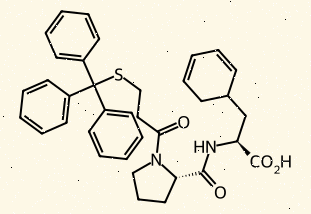 O=C(O)[C@H](CC1C=CC=CC1)NC(=O)[C@@H]1CCCN1C(=O)CCSC(c1ccccc1)(c1ccccc1)c1ccccc1